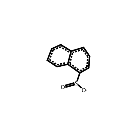 [O]S(=O)c1cccc2ccccc12